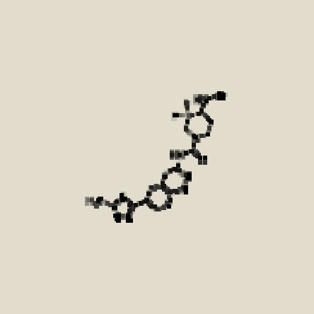 Cc1nnc(-c2ccc3nnc(NC(=O)N4CCC(NC(C)C)C(F)(F)C4)cc3c2)s1